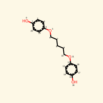 Oc1ccc(OCCCCCOc2ccc(O)cc2)cc1